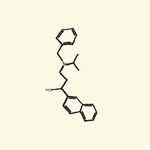 CC(C)N(CCC(O)c1ccc2ccccc2c1)Cc1ccccc1